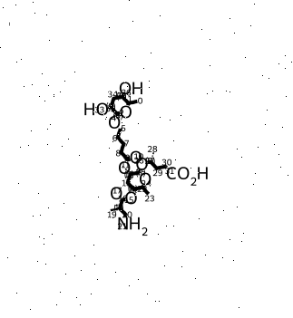 CC1O[C@@H](OCCCCC(=O)O[C@H]2C[C@@H](OC(=O)[C@H](C)CN)C(C)O[C@H]2O[C@H](C)CCC(=O)O)[C@@H](O)C[C@H]1O